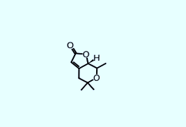 CC1OC(C)(C)CC2=CC(=O)O[C@@H]21